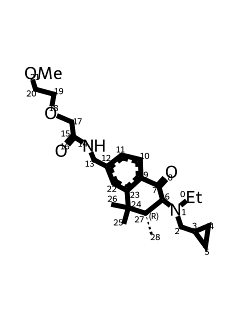 CCN(CC1CC1)C1C(=O)c2ccc(CNC(=O)COCCOC)cc2C(C)(C)[C@H]1C